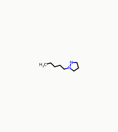 CCCCCN1CCC[N]1